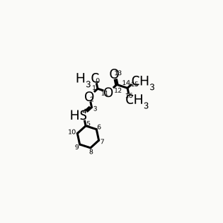 CC(OC=[SH]C1CCCCC1)OC(=O)C(C)C